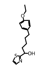 CCOc1ccc(CCCCC(O)c2nccs2)cc1